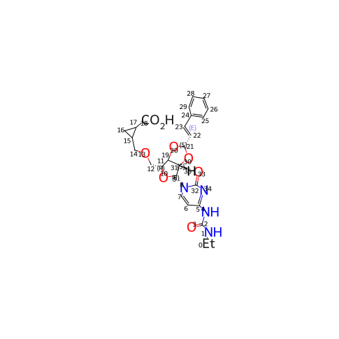 CCNC(=O)Nc1ccn([C@@H]2O[C@H](COCC3CC3C(=O)O)C3O[C@H](/C=C/c4ccccc4)O[C@@H]32)c(=O)n1